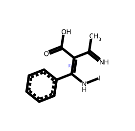 CC(=N)/C(C(=O)O)=C(\NI)c1ccccc1